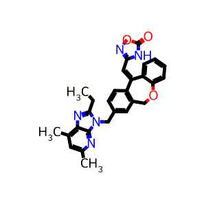 CCc1nc2c(C)cc(C)nc2n1Cc1ccc2c(c1)COc1ccccc1C2=Cc1noc(=O)[nH]1